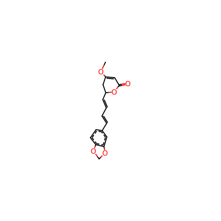 COC1=CC(=O)OC(/C=C/C=C/c2ccc3c(c2)OCO3)C1